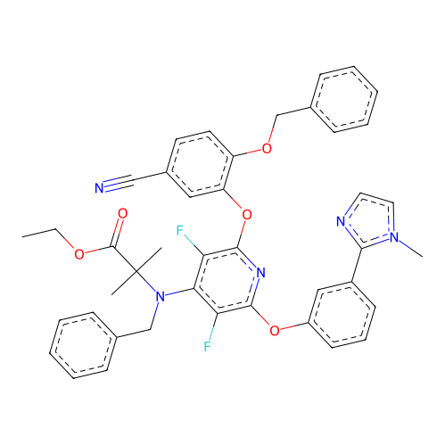 CCOC(=O)C(C)(C)N(Cc1ccccc1)c1c(F)c(Oc2cccc(-c3nccn3C)c2)nc(Oc2cc(C#N)ccc2OCc2ccccc2)c1F